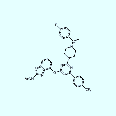 CC(=O)Nc1nc2c(Oc3cc(-c4ccc(C(F)(F)F)cc4)nc(N4CCN([C@H](C)c5ccc(F)cc5)CC4)n3)cccc2s1